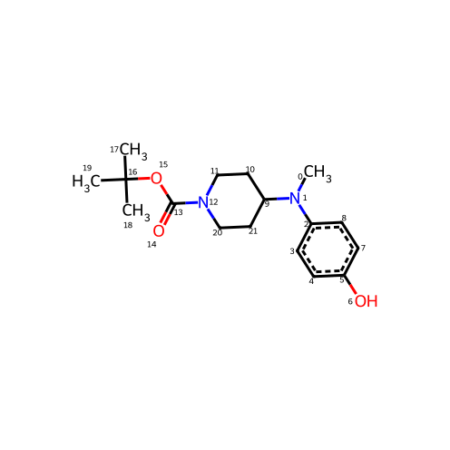 CN(c1ccc(O)cc1)C1CCN(C(=O)OC(C)(C)C)CC1